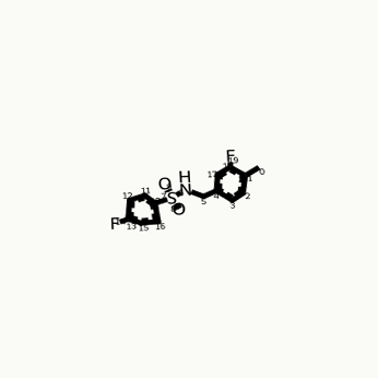 Cc1ccc(CNS(=O)(=O)c2ccc(F)cc2)cc1F